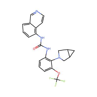 O=C(Nc1cccc(OC(F)(F)F)c1N1CC2CC2C1)Nc1cccc2cnccc12